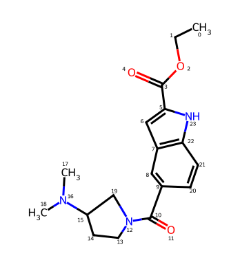 CCOC(=O)c1cc2cc(C(=O)N3CCC(N(C)C)C3)ccc2[nH]1